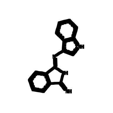 N=C1NC(=Nc2c[nH]c3ccccc23)c2ccccc21